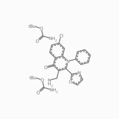 CC(C)(C)OC(N)=O.CC(C)(C)OC(N)=O.NCc1c(-c2ncco2)n(-c2ccccc2)c2cc(Cl)ccc2c1=O